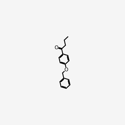 CCCC(=O)c1ccc(OCc2ccccc2)cc1